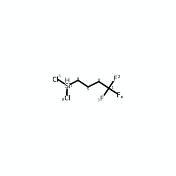 FC(F)(F)CCC[SiH](Cl)Cl